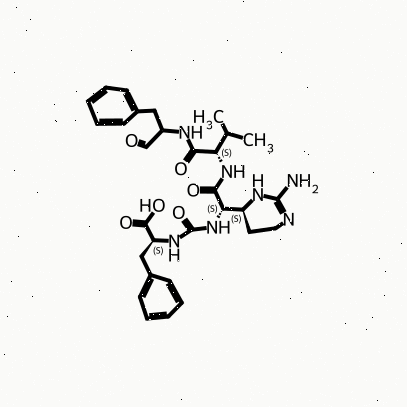 CC(C)[C@H](NC(=O)[C@@H](NC(=O)N[C@@H](Cc1ccccc1)C(=O)O)[C@@H]1CCN=C(N)N1)C(=O)NC(C=O)Cc1ccccc1